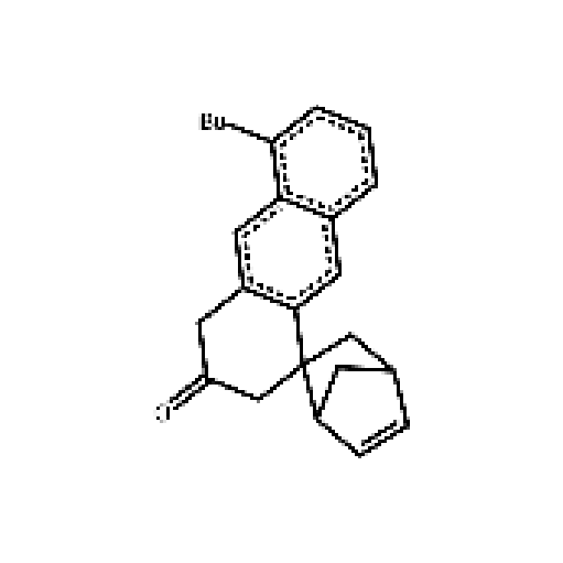 CCC(C)c1cccc2cc3c(cc12)CC(=O)CC31CC2C=CC1C2